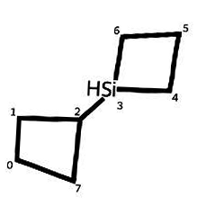 C1CC([SiH]2CCC2)C1